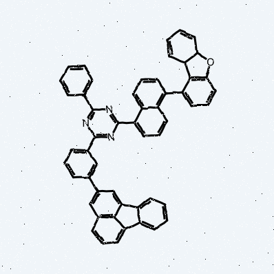 C1=CC2Oc3cccc(-c4cccc5c(-c6nc(-c7ccccc7)nc(-c7cccc(-c8cc9c%10c(cccc%10c8)-c8ccccc8-9)c7)n6)cccc45)c3C2C=C1